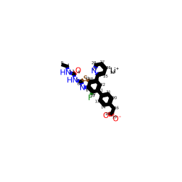 CCNC(=O)Nc1nc2c(F)c(-c3ccc(CC(=O)[O-])cc3)cc(-c3ccccn3)c2s1.[Li+]